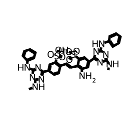 CNc1nc(Nc2ccccc2)nc(-c2ccc(C=Cc3c(N)cc(-c4nc(NC)nc(Nc5ccccc5)n4)cc3S(=O)(=O)O)c(S(=O)(=O)O)c2)n1